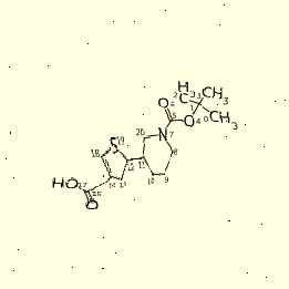 CC(C)(C)OC(=O)N1CCCC(C2CC(C(=O)O)=CS2)C1